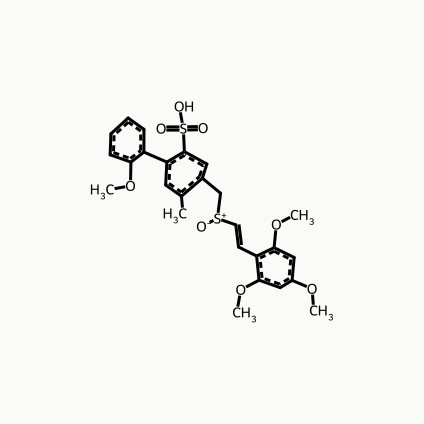 COc1cc(OC)c(/C=C/[S+]([O-])Cc2cc(S(=O)(=O)O)c(-c3ccccc3OC)cc2C)c(OC)c1